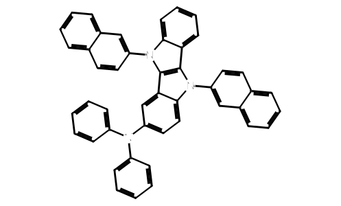 c1ccc(N(c2ccccc2)c2ccc3c(c2)c2c(c4ccccc4n2-c2ccc4ccccc4c2)n3-c2ccc3ccccc3c2)cc1